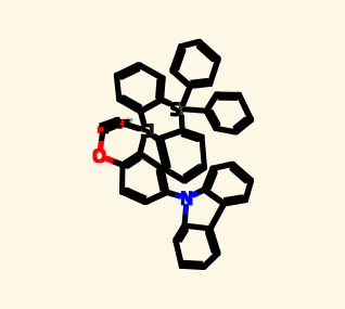 c1ccc([Si]2(c3ccccc3)c3ccccc3[Si]3(c4ccccc4Oc4ccc(-n5c6ccccc6c6ccccc65)cc43)c3ccccc32)cc1